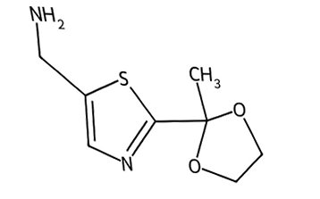 CC1(c2ncc(CN)s2)OCCO1